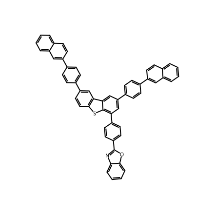 c1ccc2cc(-c3ccc(-c4ccc5sc6c(-c7ccc(-c8nc9ccccc9o8)cc7)cc(-c7ccc(-c8ccc9ccccc9c8)cc7)cc6c5c4)cc3)ccc2c1